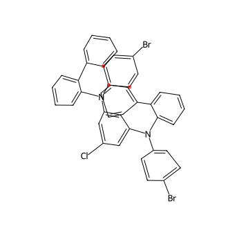 Clc1cc(N(c2ccc(Br)cc2)c2ccccc2-c2ccccc2)cc(N(c2ccc(Br)cc2)c2ccccc2-c2ccccc2)c1